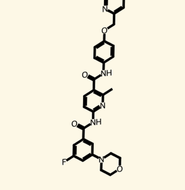 Cc1nc(NC(=O)c2cc(F)cc(N3CCOCC3)c2)ccc1C(=O)Nc1ccc(OCc2ccccn2)cc1